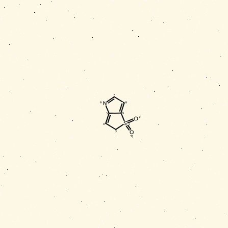 O=S1(=O)CC=C2N=CC=C21